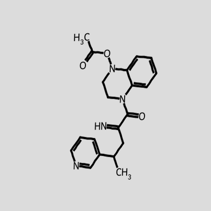 CC(=O)ON1CCN(C(=O)C(=N)CC(C)c2cccnc2)c2ccccc21